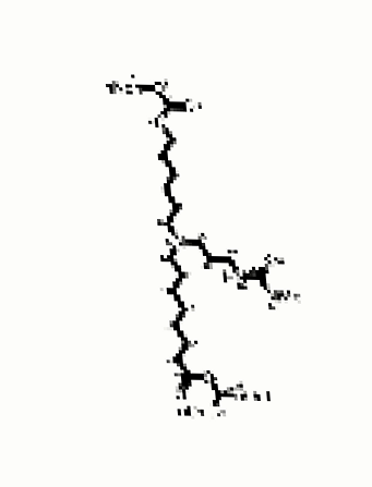 CCCCCCCCCOC(=O)OCCCCCCN(CCCCCCCC(=O)OC(CCCCCCCC)CCCCCCCC)CCCNC(=S)NC